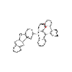 C1=c2ccccc2=CC2c3cc(-c4c5ccccc5c(-c5ccccc5-c5ccccc5)c5ccccc45)ccc3OC12